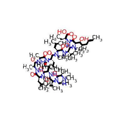 C/C=C/C[C@@H](C)[C@@H](O)[C@@H](C(=O)N[C@@H](CC)C(=O)O)N(C)C(=O)[C@H](C(C)C)N(C)C(=O)[C@H](CC(C)C)N(C)C(=O)[C@H](CC(C)C)N(C)C(=O)[C@@H](C)NC(=O)[C@H](C)NC(=O)[C@H](CC(C)C)N(C)C(=O)[C@@H](NC(=O)[C@H](C(C)C)N(CC)C(=O)[C@@H](C)NC)C(C)C